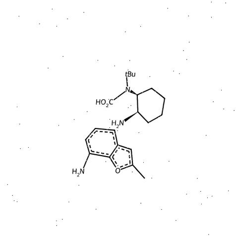 CC(C)(C)N(C(=O)O)[C@H]1CCCC[C@H]1N.Cc1cc2cccc(N)c2o1